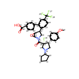 COc1ccc([C@@H]2CN(C3CCCC3)C[C@@]2(F)C(=O)N2CC(c3ccc(C(F)(F)F)cc3-c3ccc(C(=O)O)cc3)C3OC32)cc1